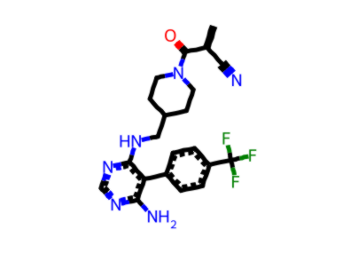 C=C(C#N)C(=O)N1CCC(CNc2ncnc(N)c2-c2ccc(C(F)(F)F)cc2)CC1